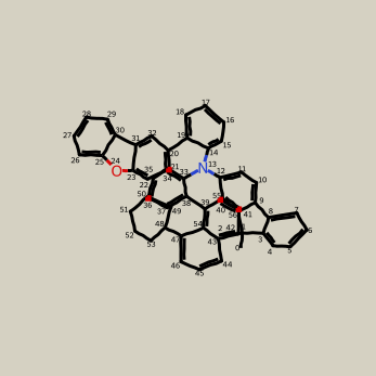 CC1(C)c2ccccc2-c2ccc(N(c3ccccc3-c3ccc4oc5ccccc5c4c3)c3ccccc3-c3cccc4cccc(C5CCCCC5)c34)cc21